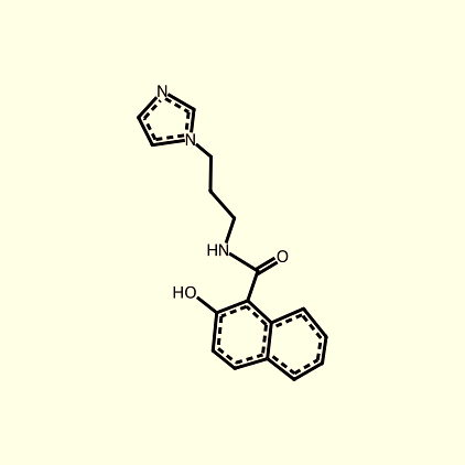 O=C(NCCCn1ccnc1)c1c(O)ccc2ccccc12